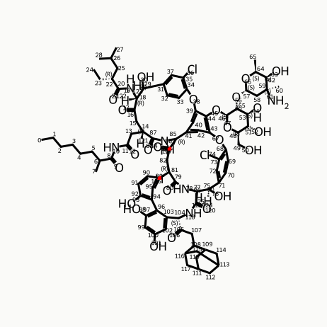 CCCCCCC(C)C(=O)NC(=O)C[C@@H]1CC(=O)[C@H](NC(=O)[C@H](CC)CC(C)C)[C@H](O)c2ccc(c(Cl)c2)Oc2cc3cc(c2O[C@@H]2O[C@H](CO)[C@@H](O)[C@H](O)[C@H]2O[C@H]2C[C@](C)(N)[C@H](O)[C@H](C)O2)Oc2ccc(cc2Cl)[C@@H](O)[C@@H]2NC(=O)[C@H](CC(=O)[C@@H]3NC1=O)c1ccc(O)c(c1)-c1c(O)cc(O)cc1[C@@H](C(=O)CC1C3CC4CC(C3)CC1C4)NC2=O